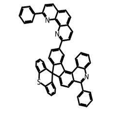 c1ccc(-c2ccc3ccc4ccc(-c5ccc6c(c5)-c5c(ccc7c(-c8ccccc8)nc8ccccc8c57)C65c6ccccc6Sc6ccccc65)nc4c3n2)cc1